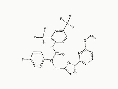 COc1cccc(-c2nnc(CN(C(=O)Cc3ccc(C(F)(F)F)cc3C(F)(F)F)c3ccc(F)cc3)o2)n1